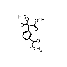 COC(=O)c1cncc(C(C(=O)OC)C(=O)OC)c1